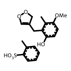 COc1ccc(O)c(CC2=COOC2)c1C.Cc1ccccc1S(=O)(=O)O